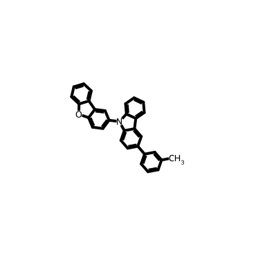 Cc1cccc(-c2ccc3c(c2)c2ccccc2n3-c2ccc3oc4ccccc4c3c2)c1